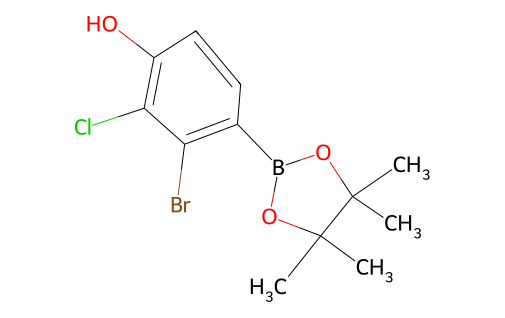 CC1(C)OB(c2ccc(O)c(Cl)c2Br)OC1(C)C